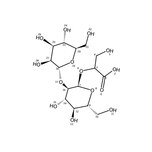 O=C(O)C(CO)O[C@H]1O[C@H](CO)[C@@H](O)[C@H](O)[C@H]1O[C@H]1O[C@H](CO)[C@@H](O)[C@H](O)[C@@H]1O